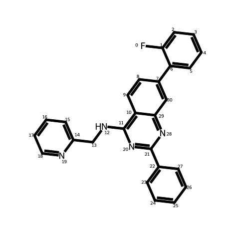 Fc1ccccc1-c1ccc2c(NCc3ccccn3)nc(-c3ccccc3)nc2c1